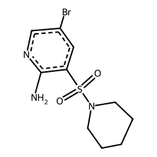 Nc1ncc(Br)cc1S(=O)(=O)N1CCCCC1